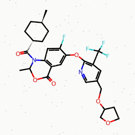 CC1OC(=O)c2cc(Oc3ncc(COC4CCOC4)cc3C(F)(F)F)c(F)cc2N1C(=O)[C@H]1CC[C@H](C)CC1